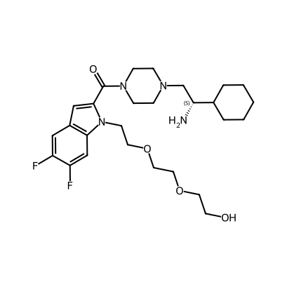 N[C@H](CN1CCN(C(=O)c2cc3cc(F)c(F)cc3n2CCOCCOCCO)CC1)C1CCCCC1